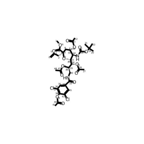 C=CC[C@]1(C(=O)OC)C[C@H](OC(C)=O)[C@@H](NC(=O)OC(C)(C)C)[C@H]([C@H](OC(C)=O)[C@@H](CNC(=O)c2cc(Cl)c(OC(C)=O)c(Cl)c2)OC(C)=O)O1